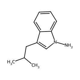 CC(C)Cc1cn(N)c2ccccc12